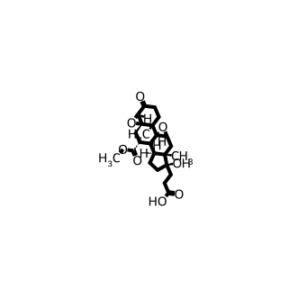 COC(=O)[C@@H]1C[C@@]23O[C@@H]2C(=O)CC[C@]3(C)[C@@]23O[C@@H]2C[C@@]2(C)[C@@H](CC[C@@]2(O)CCC(=O)O)[C@H]13